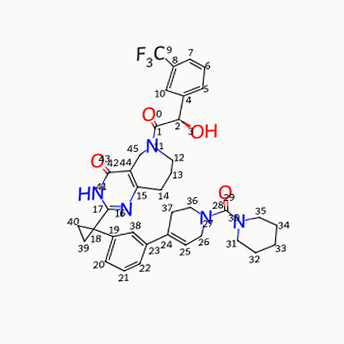 O=C([C@H](O)c1cccc(C(F)(F)F)c1)N1CCCc2nc(C3(c4cccc(C5=CCN(C(=O)N6CCCCC6)CC5)c4)CC3)[nH]c(=O)c2C1